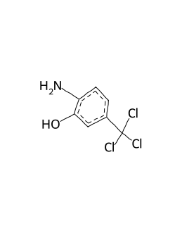 Nc1ccc(C(Cl)(Cl)Cl)cc1O